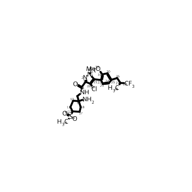 CCn1nc(C(=O)NCC2(N)CCC(S(C)(=O)=O)CC2)c(Cl)c1-c1ccc(CC(C)C(F)(F)F)cc1OC